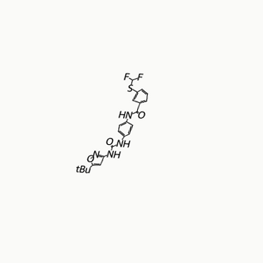 CC(C)(C)c1cc(NC(=O)Nc2ccc(NC(=O)c3cccc(SC(F)F)c3)cc2)no1